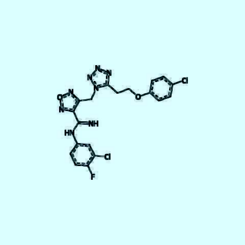 N=C(Nc1ccc(F)c(Cl)c1)c1nonc1Cn1nnnc1CCOc1ccc(Cl)cc1